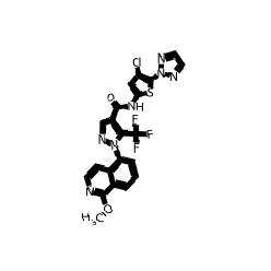 COc1nccc2c(-n3ncc(C(=O)Nc4cc(Cl)c(-n5nccn5)s4)c3C(F)(F)F)cccc12